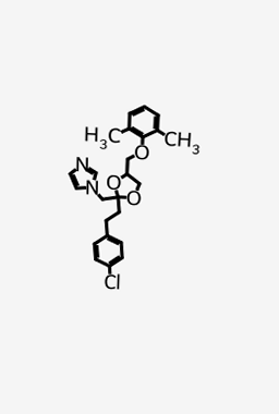 Cc1cccc(C)c1OCC1COC(CCc2ccc(Cl)cc2)(Cn2ccnc2)O1